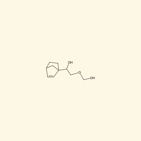 OCOCC(O)C12C=CC(CC1)C2